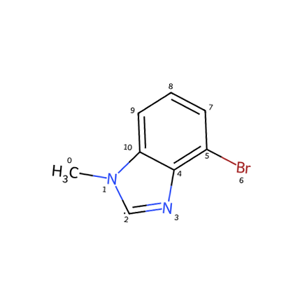 Cn1[c]nc2c(Br)cccc21